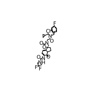 CC(C1CC1)N(Cc1ccc(F)cc1)C(=O)CN1C[C@]2(CCC3C(=O)C(NC(=O)N4CC(F)(F)C4)=CC=C32)OC1=O